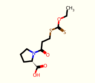 CCOC(=S)SCCC(=O)N1CCC[C@H]1C(=O)O